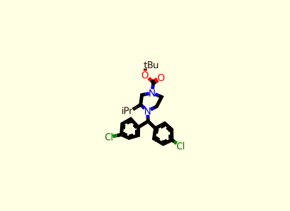 CC(C)C1CN(C(=O)OC(C)(C)C)CCN1C(c1ccc(Cl)cc1)c1ccc(Cl)cc1